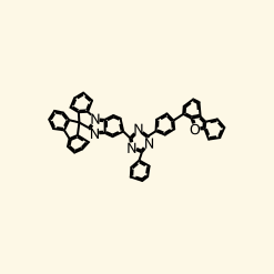 c1ccc(-c2nc(-c3ccc(-c4cccc5c4oc4ccccc45)cc3)nc(-c3ccc4c(c3)nc3n4-c4ccccc4C34c3ccccc3-c3ccccc34)n2)cc1